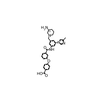 Cc1cn(-c2cc(CN3CCC[C@H](N)C3)cc(NC(=O)c3cccc(Oc4ccc(C(=O)O)cc4)c3)c2)cn1